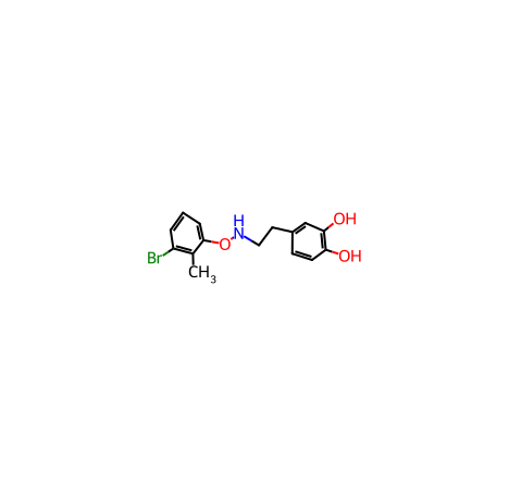 Cc1c(Br)cccc1ONCCc1ccc(O)c(O)c1